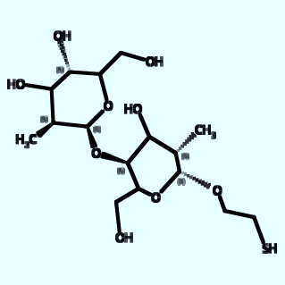 C[C@H]1C(O)[C@H](O)C(CO)O[C@H]1O[C@@H]1C(CO)O[C@@H](OCCS)[C@@H](C)C1O